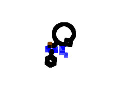 NC12CC(CCCCCCCCCC(c3nc(-c4ccccc4)ns3)C1)C2